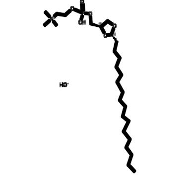 CCCCCCCCCCCCCCCCC[C@H]1OC[C@H](COP(=O)(O)OCC[N+](C)(C)C)O1.[OH-]